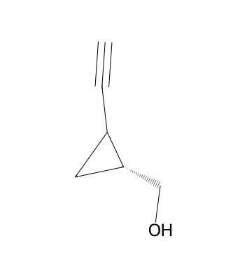 C#CC1C[C@H]1CO